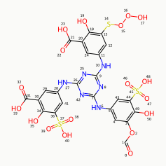 O=COc1cc(Nc2nc(Nc3cc(SOOO)c(O)c(C(=O)O)c3)nc(Nc3cc(C(=O)O)c(O)c(S(=O)(=O)O)c3)n2)cc(S(=O)(=O)O)c1O